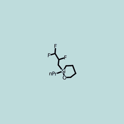 CCC[Si]1(CC(F)C(F)F)CCCCO1